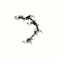 COc1cc2c(c(F)c1OCCCOc1c(OC)cc3sc(C(=O)CCC(=O)O[C@@H](C)CNC(=O)CCOCCOCCNC(=O)OC(C)(C)C)cc3c1F)CN(C(=O)CCC(=O)OC(C)(C)C)C2